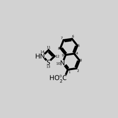 O=C(O)c1ccc2ccccc2n1.c1cs[nH]1